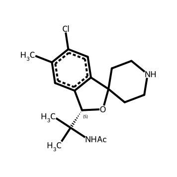 CC(=O)NC(C)(C)[C@H]1OC2(CCNCC2)c2cc(Cl)c(C)cc21